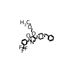 CCOCCOc1c(N2CCN(Cc3ccccc3)CC2)cnn(-c2cccc(C(F)(F)F)c2)c1=O